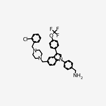 NCc1ccc(-n2cc(-c3ccc(OC(F)(F)F)cc3)c3cc(CN4CCN(Cc5ccccc5Cl)CC4)ccc32)cc1